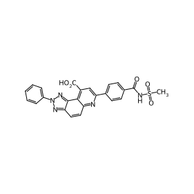 CS(=O)(=O)NC(=O)c1ccc(-c2cc(C(=O)O)c3c(ccc4nn(-c5ccccc5)nc43)n2)cc1